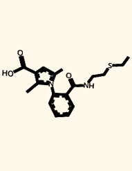 CCSCCNC(=O)c1ccccc1-n1c(C)cc(C(=O)O)c1C